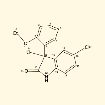 CCOc1ccccc1C1(Cl)C(=O)Nc2ccc(Cl)cc21